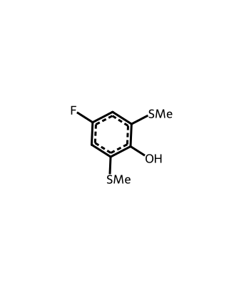 CSc1cc(F)cc(SC)c1O